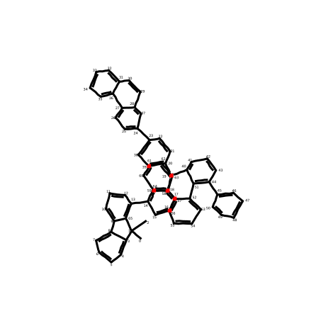 CC1(C)c2ccccc2-c2cccc(-c3cccc(N(c4ccc(-c5ccc6c(ccc7ccccc76)c5)cc4)c4cccc(-c5ccccc5)c4-c4ccccc4-c4ccccc4)c3)c21